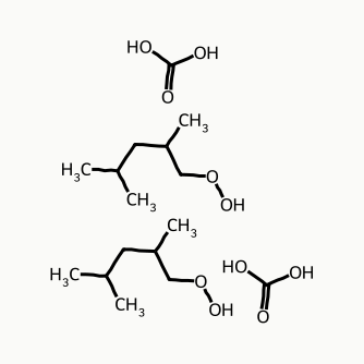 CC(C)CC(C)COO.CC(C)CC(C)COO.O=C(O)O.O=C(O)O